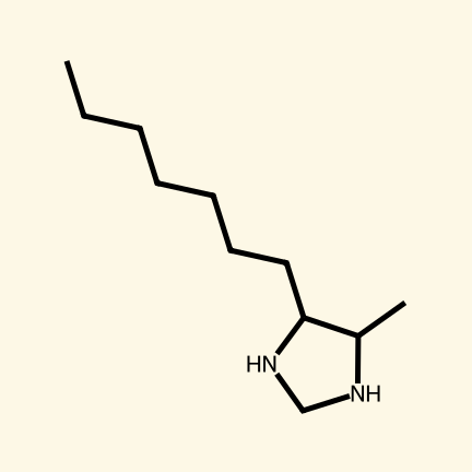 CCCCCCCC1NCNC1C